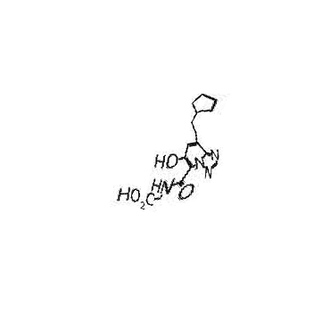 O=C(O)CNC(=O)c1c(O)cc(CCC2CCCC2)c2ncnn12